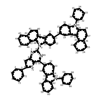 c1ccc(-c2cc3nc(-n4c5ccc(-c6ccc7c(c6)c6c8ccccc8ccc6n7-c6ccccc6)cc5c5ccc6ccccc6c54)nc(-c4ccc5c(c4)c4ccccc4n5-c4ccccc4)c3s2)cc1